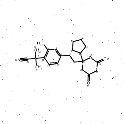 Cc1cc(CCC2(C3CCCC3)CC(=O)CC(=O)O2)ccc1C(C)(C)C#N